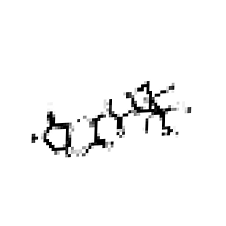 COC(=O)[C@H](C[C@@H]1CCNC1=O)NC(=O)[C@H]1NC[C@H]2[C@H]1C2(C)C